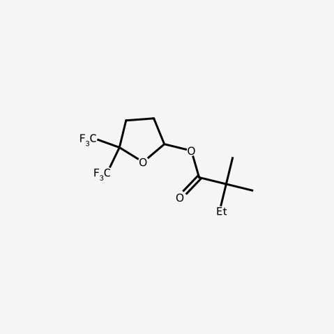 CCC(C)(C)C(=O)OC1CCC(C(F)(F)F)(C(F)(F)F)O1